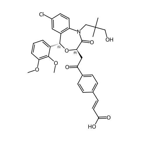 COc1cccc([C@H]2O[C@H](CC(=O)c3ccc(C=CC(=O)O)cc3)C(=O)N(CC(C)(C)CO)c3ccc(Cl)cc32)c1OC